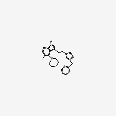 Fc1ccc2[nH]cc(CCc3cnn(Cc4ccccc4)c3)c2c1N1CCCCC1